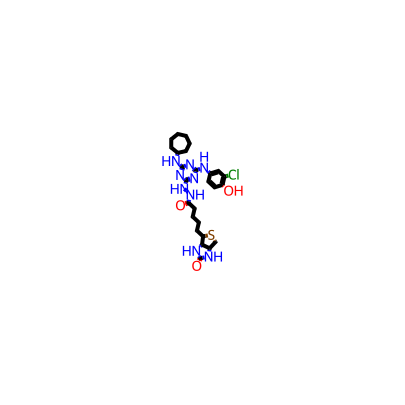 O=C(CCCCC1SCC2NC(=O)NC21)NNc1nc(Nc2ccc(O)c(Cl)c2)nc(NC2CCCCCC2)n1